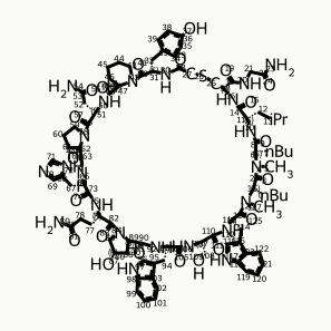 CCCC[C@H]1C(=O)N(C)[C@@H](CCCC)C(=O)N[C@@H](CC(C)C)C(=O)N[C@H](C(=O)NCC(N)=O)CSCC(=O)N[C@@H](Cc2ccc(O)cc2)C(=O)N2CCCC[C@H]2C(=O)N[C@@H](CC(N)=O)C(=O)N2CCC[C@H]2C(=O)N[C@@H](Cc2cnc[nH]2)C(=O)N[C@@H](CCC(N)=O)C(=O)N2C[C@H](O)C[C@H]2C(=O)N[C@@H](Cc2c[nH]c3ccccc23)C(=O)N[C@@H](CO)C(=O)N[C@@H](Cc2c[nH]c3ccccc23)C(=O)N1C